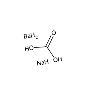 O=C(O)O.[BaH2].[NaH]